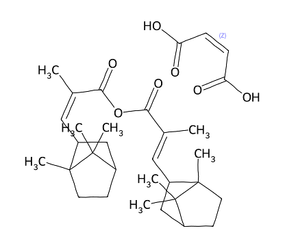 CC(=CC1CC2CCC1(C)C2(C)C)C(=O)OC(=O)C(C)=CC1CC2CCC1(C)C2(C)C.O=C(O)/C=C\C(=O)O